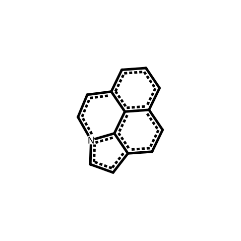 c1cc2ccc3ccn4ccc(c1)c2c34